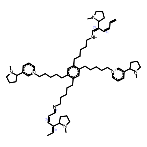 C=C/C=C\C(=C/NCCCCCc1cc(CCCCC[n+]2cccc(C3CCCN3C)c2)c(CCCCC/N=C/C=C\C(=C/C)C2CCCN2C)cc1CCCCC[n+]1cccc(C2CCCN2C)c1)C1CCCN1C